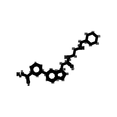 NC(=O)c1cccc(-c2ccc3ccn(CC(=O)NCCNCC4CCCCC4)c3c2)c1